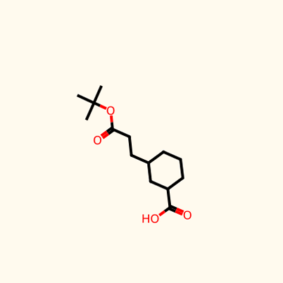 CC(C)(C)OC(=O)CCC1CCCC(C(=O)O)C1